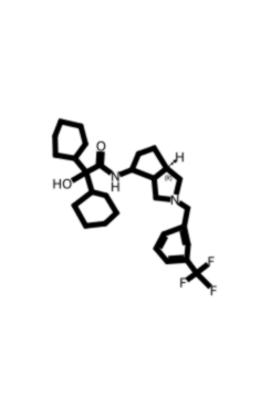 O=C(NC1CC[C@H]2CN(Cc3cccc(C(F)(F)F)c3)CC12)C(O)(C1CCCCC1)C1CCCCC1